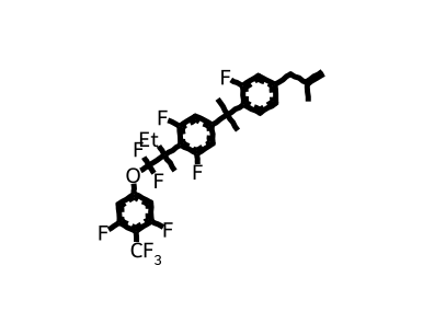 C=C(C)Cc1ccc(C(C)(C)c2cc(F)c(C(C)(CC)C(F)(F)Oc3cc(F)c(C(F)(F)F)c(F)c3)c(F)c2)c(F)c1